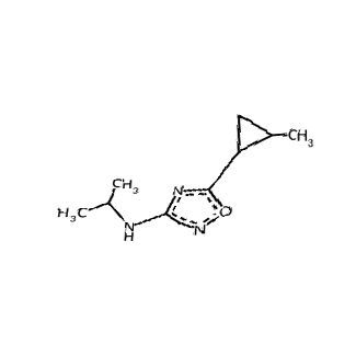 CC(C)Nc1noc(C2CC2C)n1